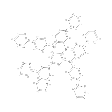 c1ccc(-c2ccc(N3c4ccc(-c5ccccc5)cc4B4c5cc(-c6ccccc6)ccc5N(c5ccc(-c6ccccc6)cc5)c5cc(-c6nc(-c7ccccc7)c7ccccc7n6)cc3c54)cc2)cc1